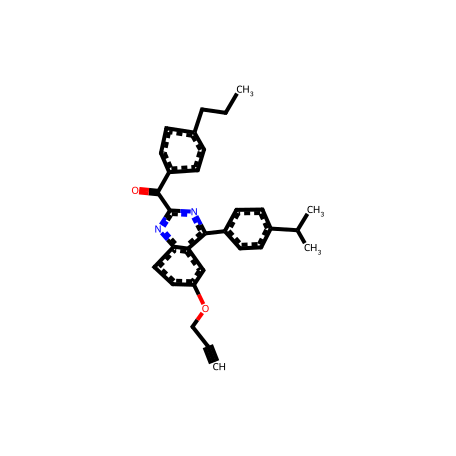 C#CCOc1ccc2nc(C(=O)c3ccc(CCC)cc3)nc(-c3ccc(C(C)C)cc3)c2c1